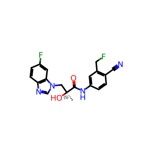 C[C@](O)(Cn1cnc2ccc(F)cc21)C(=O)Nc1ccc(C#N)c(CF)c1